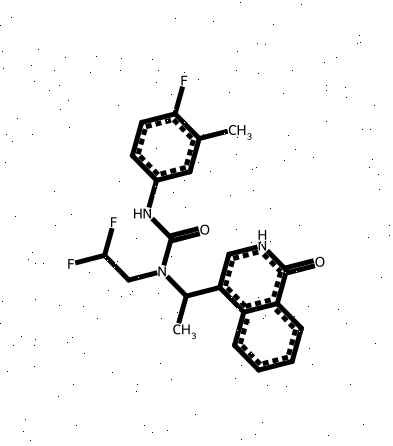 Cc1cc(NC(=O)N(CC(F)F)C(C)c2c[nH]c(=O)c3ccccc23)ccc1F